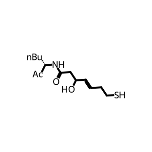 CCCC[C@H](NC(=O)CC(O)/C=C/CCS)C(C)=O